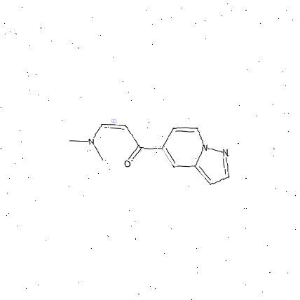 CN(C)/C=C\C(=O)c1ccn2nccc2c1